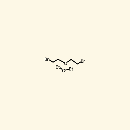 BrCCOCCBr.CCOCC